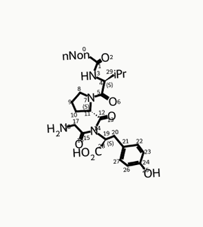 CCCCCCCCCC(=O)N[C@H](C(=O)N1CCC[C@H]1C(=O)N(C(=O)CN)[C@@H](Cc1ccc(O)cc1)C(=O)O)C(C)C